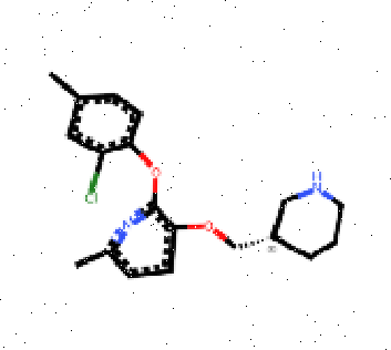 Cc1ccc(Oc2nc(C)ccc2OC[C@H]2CCCNC2)c(Cl)c1